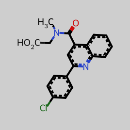 CN(CC(=O)O)C(=O)c1cc(-c2ccc(Cl)cc2)nc2ccccc12